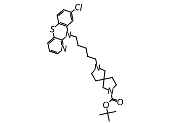 CC(C)(C)OC(=O)N1CCC2(CCN(CCCCCN3c4cc(Cl)ccc4Sc4cccnc43)C2)C1